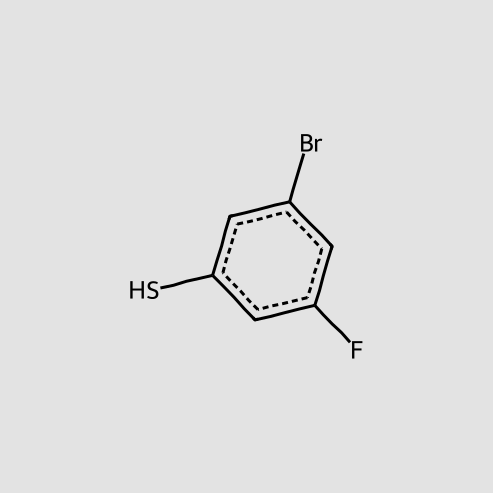 Fc1cc(S)cc(Br)c1